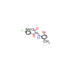 COC(=O)C(=CNc1cc(C)ccc1Br)C(=O)c1ccc(F)cc1